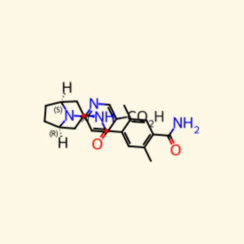 Cc1cc(C(=O)N[C@H]2C[C@H]3CC[C@@H](C2)N3c2ccc(C(=O)O)cn2)c(C)cc1C(N)=O